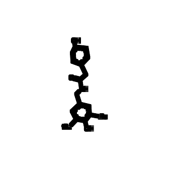 CC(C)(C)c1cc(CNC(=O)Cc2ccc(O)cc2)cc(C(C)(C)C)c1O